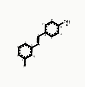 Cc1cccc(/C=C/c2ccc(O)cc2)c1